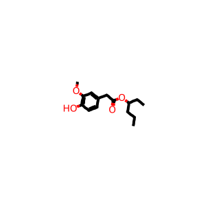 CCCC(CC)OC(=O)Cc1ccc(O)c(OC)c1